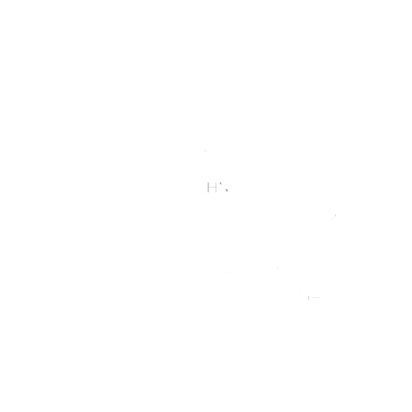 O=C(Nc1ccsc1C(=O)O)c1ccccc1